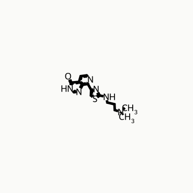 CN(C)CCCNc1nc(-c2nccc3c(=O)[nH]cnc23)cs1